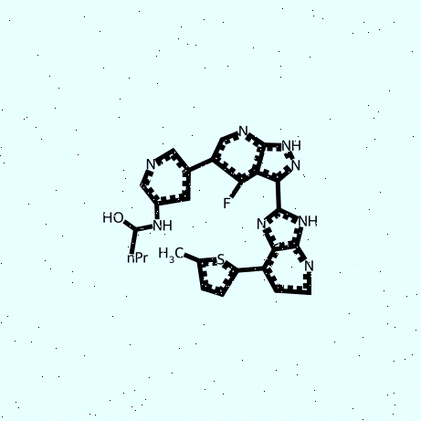 CCCC(O)Nc1cncc(-c2cnc3[nH]nc(-c4nc5c(-c6ccc(C)s6)ccnc5[nH]4)c3c2F)c1